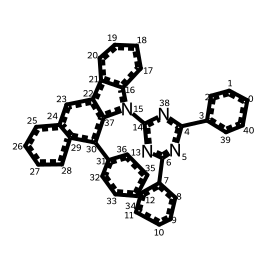 c1ccc(-c2nc(-c3ccccc3)nc(-n3c4ccccc4c4cc5ccccc5c(-c5ccccc5)c43)n2)cc1